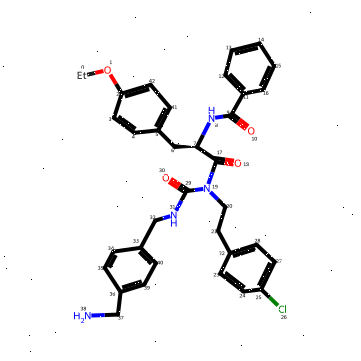 CCOc1ccc(C[C@@H](NC(=O)c2ccccc2)C(=O)N(CCc2ccc(Cl)cc2)C(=O)NCc2ccc(CN)cc2)cc1